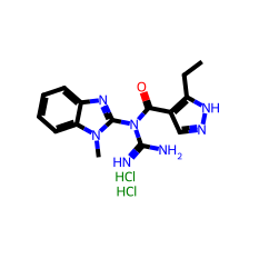 CCc1[nH]ncc1C(=O)N(C(=N)N)c1nc2ccccc2n1C.Cl.Cl